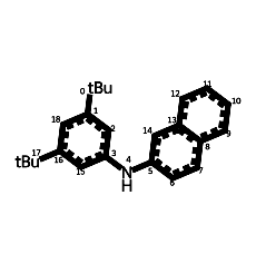 CC(C)(C)c1cc(Nc2ccc3ccccc3c2)cc(C(C)(C)C)c1